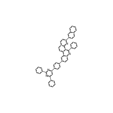 c1ccc(-c2cc(-c3ccc(-c4ccc5nc(-c6ccccc6)c6c(ccc7ccc(-c8ccc9ccccc9c8)nc76)c5c4)cc3)nc(-c3ccccc3)n2)cc1